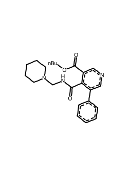 CCCCOC(=O)c1cn[c]c(-c2ccccc2)c1C(=O)NCN1CCCCC1